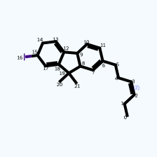 CC/C=C\CCC1=CC2C(C=C1)C1=CCC(I)C=C1C2(C)C